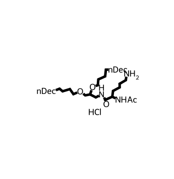 CCCCCCCCCCCCCCOCC(CNC(=O)C(CCCCN)NC(C)=O)OCCCCCCCCCCCCCC.Cl